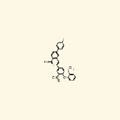 CSc1ccccc1Oc1ccc(C=Cc2cc(-c3ccc(F)cc3)ccc2C(=O)O)cc1[N+](=O)[O-]